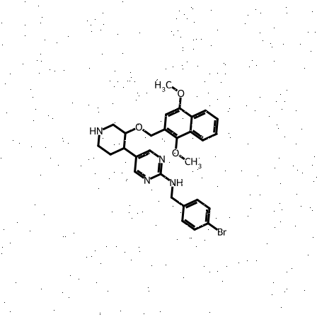 COc1cc(COC2CNCCC2c2cnc(NCc3ccc(Br)cc3)nc2)c(OC)c2ccccc12